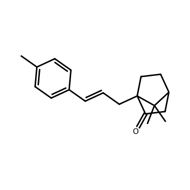 Cc1ccc(C=CCC23CCC(CC2=O)C3(C)C)cc1